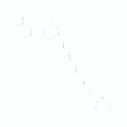 CC(=O)c1cc2c(C)cc(OC(=O)/C=C(C)/C=C/C=C(C)/C=C/C3=C(C)CCCC3(C)C)cc2oc1=O